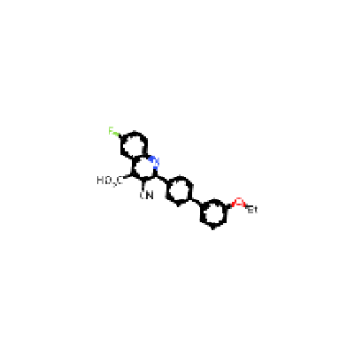 CCOc1cccc(-c2ccc(-c3nc4ccc(F)cc4c(C(=O)O)c3C#N)cc2)c1